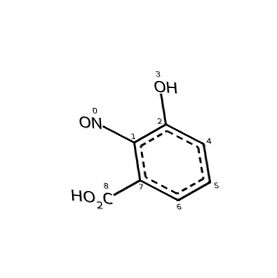 O=Nc1c(O)cccc1C(=O)O